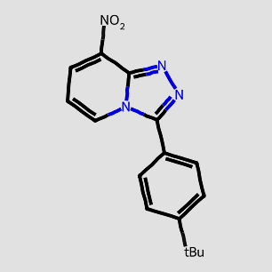 CC(C)(C)c1ccc(-c2nnc3c([N+](=O)[O-])cccn23)cc1